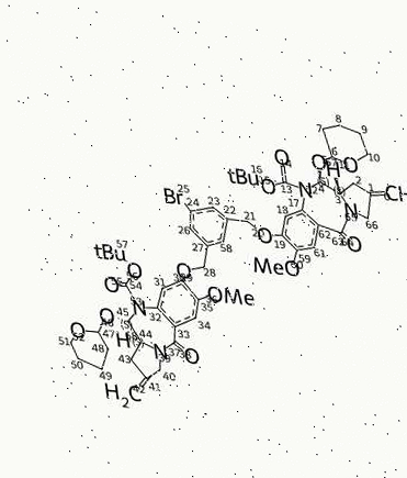 C=C1C[C@H]2[C@H](OC3CCCCO3)N(C(=O)OC(C)(C)C)c3cc(OCc4cc(Br)cc(COc5cc6c(cc5OC)C(=O)N5CC(=C)C[C@H]5[C@H](OC5CCCCO5)N6C(=O)OC(C)(C)C)c4)c(OC)cc3C(=O)N2C1